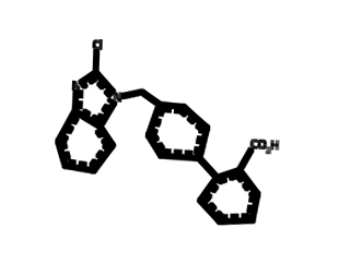 O=C(O)c1ccccc1-c1ccc(Cn2c(Cl)nc3ccccc32)cc1